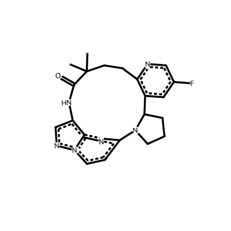 CC1(C)CCc2ncc(F)cc2C2CCCN2c2ccn3ncc(c3n2)NC1=O